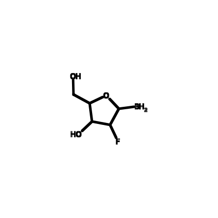 BC1OC(CO)C(O)C1F